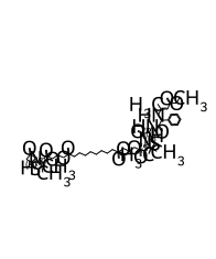 COC(=O)C=C(C)NC(C(=O)N[C@@H]1C(=O)N2[C@@H]1SC(C)(C)[C@@H]2C(=O)OCOC(=O)CCCCCCCCC(=O)OCOC(=O)[C@@H]1N2C(=O)C[C@H]2SC1(C)C)c1ccccc1